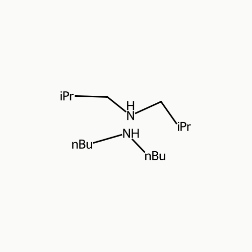 CC(C)CNCC(C)C.CCCCNCCCC